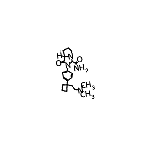 CN(C)CCC1(c2ccc(N3C(=O)[C@@H]4[CH]CCN4C3C(N)=O)cc2)CCC1